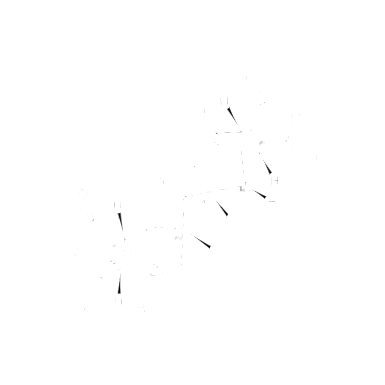 O=C1OC(=O)[C@H]2[C@@H]1[C@H]1C[C@H]2[C@@]2(CC[C@]3(C[C@@H]4CC3[C@H]3C(=O)OC(=O)[C@@H]43)C2=O)C1